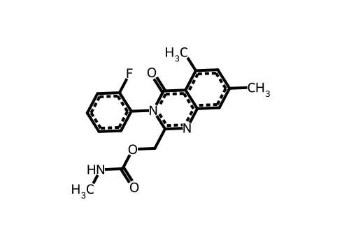 CNC(=O)OCc1nc2cc(C)cc(C)c2c(=O)n1-c1ccccc1F